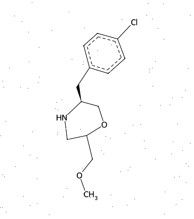 COCC1CN[C@@H](Cc2ccc(Cl)cc2)CO1